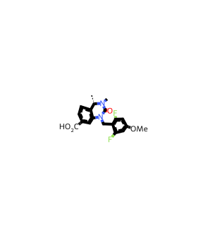 COc1cc(F)c(CN2C(=O)N(C)[C@@H](C)c3ccc(C(=O)O)cc32)c(F)c1